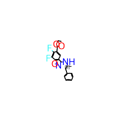 C[C@@H](Cc1ccccc1)Nc1noc2c(F)c(F)c(C3OCCO3)cc12